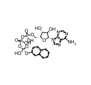 Nc1ncnc2c1ncn2[C@@H]1O[C@H](COP(=O)(O)OP(=O)(O)OP(=O)(O)Oc2ccc3ccccc3c2)[C@H](O)C1O